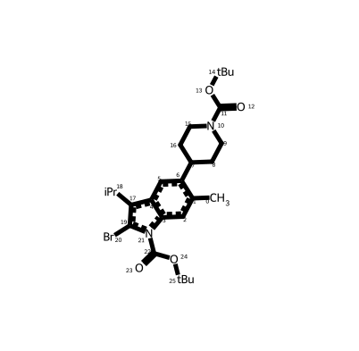 Cc1cc2c(cc1C1CCN(C(=O)OC(C)(C)C)CC1)c(C(C)C)c(Br)n2C(=O)OC(C)(C)C